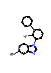 CC(C)(C)c1ccc2c(c1)ncn2-c1cccc(-c2ccccc2)c1C#N